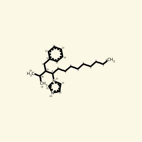 CCCCCCCCCC(C(Cc1ccccc1)C(C)C)n1ccnc1